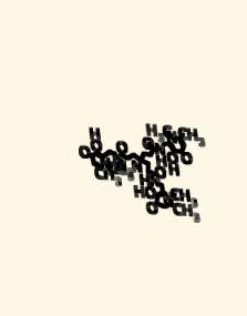 Cc1cc(=O)c(O)c(CNC(=O)CCC(N)(CCC(=O)NCc2c(O)c(=O)cc(C)n2C)CCC(=O)NCc2c(O)c(=O)cc(C)n2C)n1C